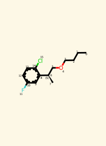 CCCCOC[C@@H](C)c1cc(F)ccc1Cl